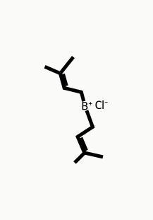 CC(C)=CC[B+]CC=C(C)C.[Cl-]